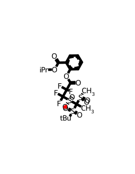 CC(C)OC(=O)c1ccccc1OC(=O)C(F)(F)C(F)(F)S(=O)(=O)C(C)(S(C)(=O)=O)S(=O)(=O)C(C)(C)C